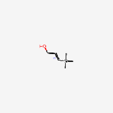 C[Si](C)(C)/C=C/CO